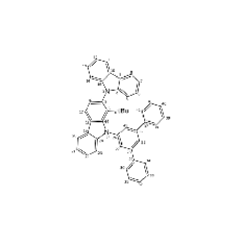 CC(C)(C)c1c(-n2c3ccccc3c3ccccc32)ccc2c3ccccc3n(-c3cc(-c4ccccc4)cc(-c4ccccc4)c3)c12